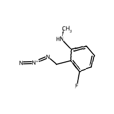 CNc1cccc(F)c1CN=[N+]=[N-]